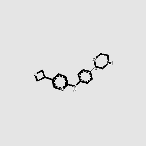 c1cc([C@H]2CNCCO2)ccc1Nc1ccc(C2COC2)cn1